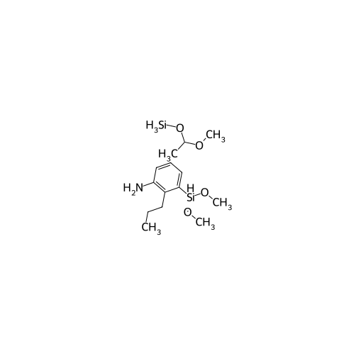 CCCc1c(N)cccc1[SiH](OC)OC.COC(C)O[SiH3]